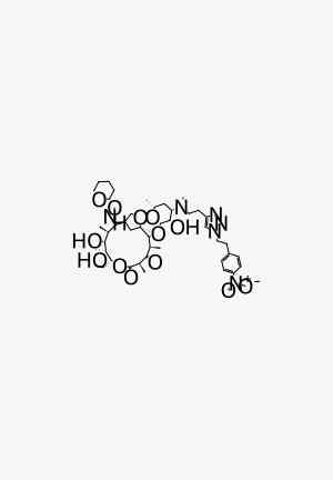 CC[C@H]1OC(=O)[C@H](C)C(=O)[C@H](C)[C@@H](O[C@@H]2O[C@H](C)C[C@H](N(C)CCc3cn(CCc4ccc([N+](=O)[O-])cc4)nn3)[C@H]2O)[C@@]2(C)C[C@@H](CO2)/C(=N\OC2CCCCO2)[C@H](C)[C@@H](O)[C@]1(C)O